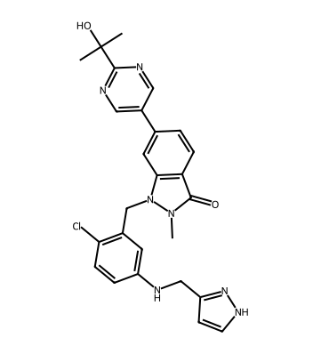 Cn1c(=O)c2ccc(-c3cnc(C(C)(C)O)nc3)cc2n1Cc1cc(NCc2cc[nH]n2)ccc1Cl